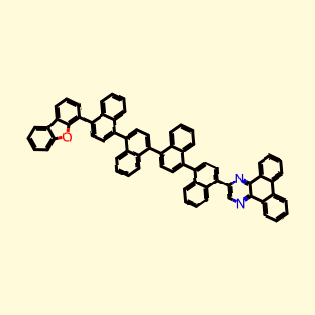 c1ccc2c(c1)oc1c(-c3ccc(-c4ccc(-c5ccc(-c6ccc(-c7cnc8c9ccccc9c9ccccc9c8n7)c7ccccc67)c6ccccc56)c5ccccc45)c4ccccc34)cccc12